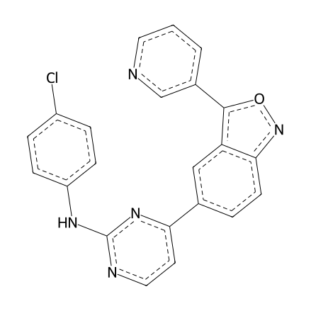 Clc1ccc(Nc2nccc(-c3ccc4noc(-c5cccnc5)c4c3)n2)cc1